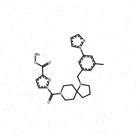 Cc1cc(CN2CCCC23CCN(C(=O)n2ccc(C(=O)OC(C)(C)C)n2)CC3)cc(-n2cccn2)c1